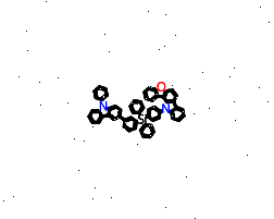 c1ccc(-n2c3ccccc3c3cc(-c4cccc([Si](c5ccccc5)(c5ccccc5)c5ccc(-n6c7ccccc7c7ccc8oc9ccccc9c8c76)cc5)c4)ccc32)cc1